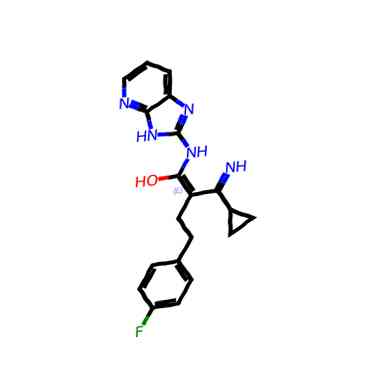 N=C(/C(CCc1ccc(F)cc1)=C(/O)Nc1nc2cccnc2[nH]1)C1CC1